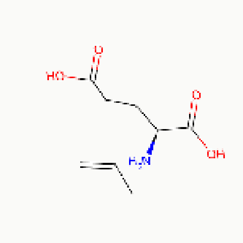 C=CC.N[C@@H](CCC(=O)O)C(=O)O